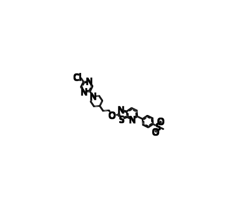 CS(=O)(=O)c1ccc(-c2ccc3nc(OCCC4CCN(c5cnc(Cl)cn5)CC4)sc3n2)cc1